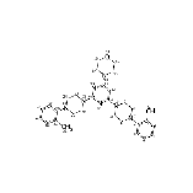 Cc1ccccc1N1CCN(c2cc(N3CCOCC3)nc(N3CCN(c4ccccc4C)CC3)n2)CC1